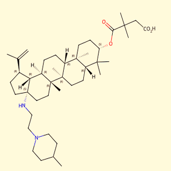 C=C(C)[C@@H]1CC[C@]2(NCCN3CCC(C)CC3)CC[C@]3(C)[C@H](CC[C@@H]4[C@@]5(C)CC[C@H](OC(=O)C(C)(C)CC(=O)O)C(C)(C)[C@@H]5CC[C@]43C)[C@@H]12